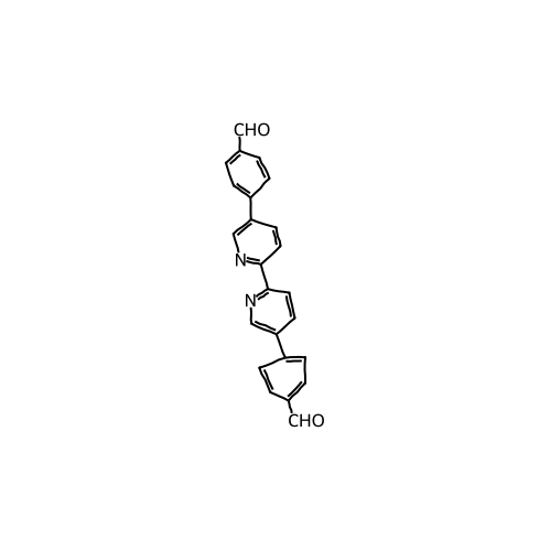 O=Cc1ccc(-c2ccc(-c3ccc(-c4ccc(C=O)cc4)cn3)nc2)cc1